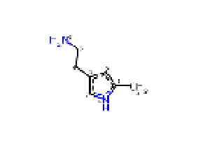 Cc1cc(CCN)c[nH]1